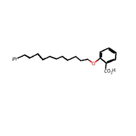 CC(C)CCCCCCCCCCCOc1ccccc1C(=O)O